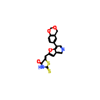 O=C1NC(=S)S/C1=C\c1cc2cncc(-c3ccc4c(c3)COCO4)c2o1